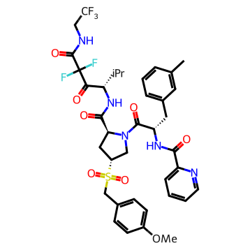 COc1ccc(CS(=O)(=O)[C@@H]2C[C@@H](C(=O)N[C@H](C(=O)C(F)(F)C(=O)NCC(F)(F)F)C(C)C)N(C(=O)[C@H](Cc3cccc(C)c3)NC(=O)c3ccccn3)C2)cc1